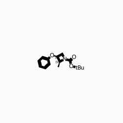 C[C@H]1[C@@H](Oc2ccccc2)CN1C(=O)OC(C)(C)C